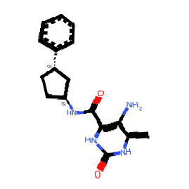 C=C1NC(=O)NC(C(=O)N[C@H]2CC[C@H](c3ccccc3)C2)=C1N